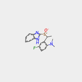 CC(c1cc(F)ccc1N(C)C)[S+]([O-])c1nc2ccccc2[nH]1